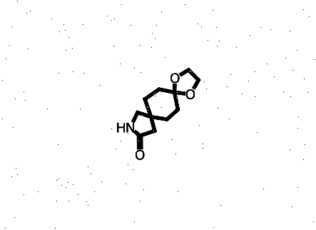 O=C1CC2(CCC3(CC2)OCCO3)CN1